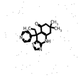 CCC1(c2ccncc2)C2=C(CC(C)(C)CC2=O)Nc2ncsc21